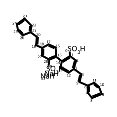 O=S(=O)(O)c1cc(C=Cc2ccccc2)ccc1-c1ccc(C=Cc2ccccc2)cc1S(=O)(=O)O.[NaH].[NaH]